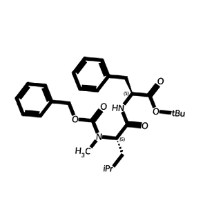 CC(C)C[C@@H](C(=O)N[C@@H](Cc1ccccc1)C(=O)OC(C)(C)C)N(C)C(=O)OCc1ccccc1